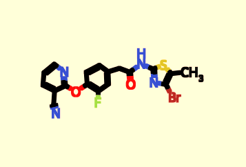 Cc1sc(NC(=O)Cc2ccc(Oc3ncccc3C#N)c(F)c2)nc1Br